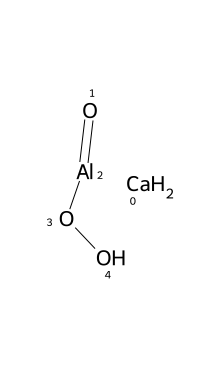 [CaH2].[O]=[Al][O]O